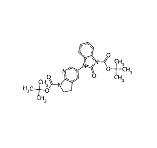 CC(C)(C)OC(=O)N1CCc2cc(-n3c(=O)n(C(=O)OC(C)(C)C)c4ccccc43)cnc21